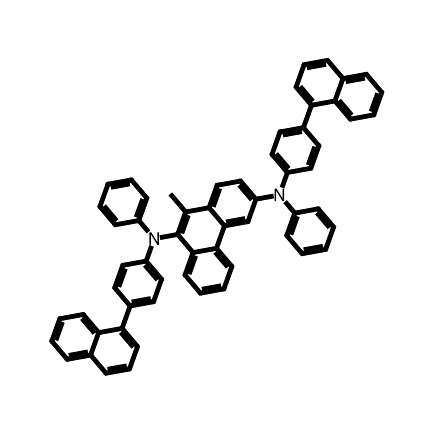 Cc1c(N(c2ccccc2)c2ccc(-c3cccc4ccccc34)cc2)c2ccccc2c2cc(N(c3ccccc3)c3ccc(-c4cccc5ccccc45)cc3)ccc12